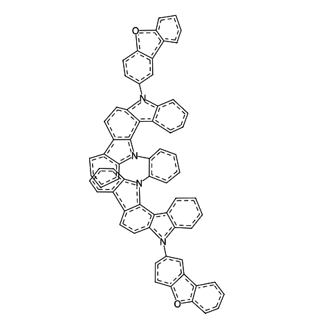 c1ccc(-n2c3ccccc3c3ccc4c(c5ccccc5n4-c4ccc5oc6ccccc6c5c4)c32)c(-n2c3ccccc3c3ccc4c(c5ccccc5n4-c4ccc5oc6ccccc6c5c4)c32)c1